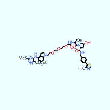 CCOC(=O)c1nnc(SC)nc1Nc1cccc2c1ccn2CCOCCOCCOCC(=O)N[C@H](C(=O)N1C[C@H](O)C[C@H]1C(=O)NCc1ccc(-c2scnc2C)cc1)C(C)(C)C